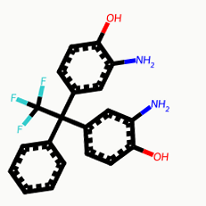 Nc1cc(C(c2ccccc2)(c2ccc(O)c(N)c2)C(F)(F)F)ccc1O